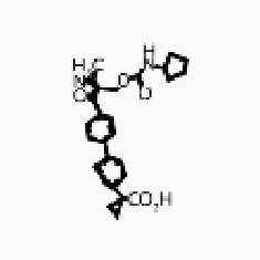 Cc1noc(-c2ccc(-c3ccc(C4(C(=O)O)CC4)cc3)cc2)c1COC(=O)NC1CCCC1